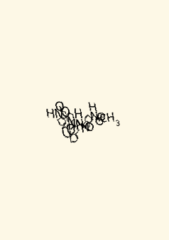 COC(=O)Nc1ccc2c(NC(Cc3ccccc3)C(=O)N3CCCC4(C3)OC(=O)Nc3ccc(Cl)cc34)noc2c1